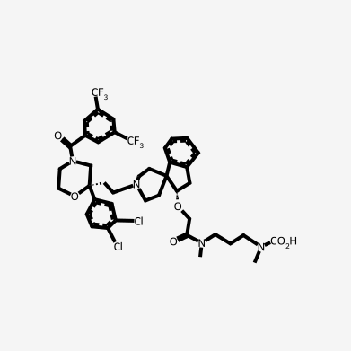 CN(CCCN(C)C(=O)CO[C@H]1Cc2ccccc2C12CCN(CC[C@@]1(c3ccc(Cl)c(Cl)c3)CN(C(=O)c3cc(C(F)(F)F)cc(C(F)(F)F)c3)CCO1)CC2)C(=O)O